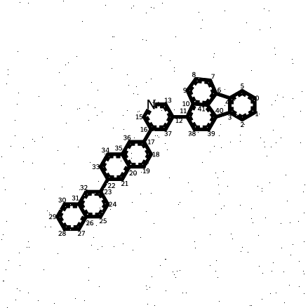 c1ccc2c(c1)-c1cccc3c(-c4cncc(-c5ccc6cc(-c7ccc8ccccc8c7)ccc6c5)c4)ccc-2c13